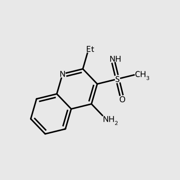 CCc1nc2ccccc2c(N)c1S(C)(=N)=O